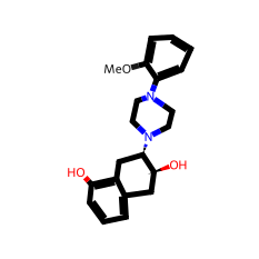 COc1ccccc1N1CCN([C@H]2Cc3c(O)cccc3C[C@@H]2O)CC1